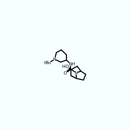 CC(C)(C)N1CCCC(NC(=O)N2C3CCC2CC(O)C3)C1